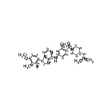 COc1ccc(C2CN=C3C(Nc4ccc(C(=O)N5CCC(CN(C)C)CC5)c(C)c4)=NC=CN32)c(F)c1C